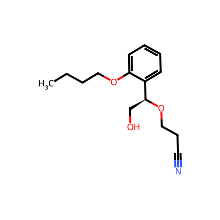 CCCCOc1ccccc1[C@H](CO)OCCC#N